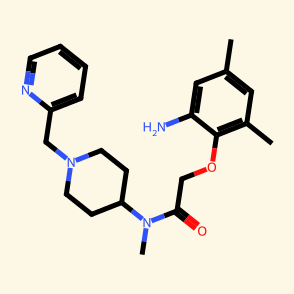 Cc1cc(C)c(OCC(=O)N(C)C2CCN(Cc3ccccn3)CC2)c(N)c1